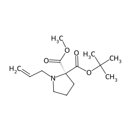 C=CCN1CCC[C@]1(C(=O)OC)C(=O)OC(C)(C)C